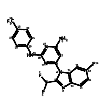 Nc1cc(-n2c(C(F)F)nc3ccc(F)cc32)nc(Nc2ccc(C(F)(F)F)cc2)n1